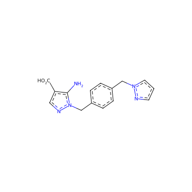 Nc1c(C(=O)O)cnn1Cc1ccc(Cn2cccn2)cc1